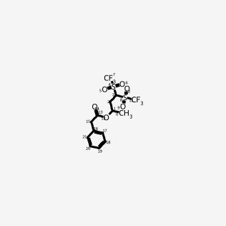 CC(CC(S(=O)(=O)C(F)(F)F)S(=O)(=O)C(F)(F)F)OC(=O)Cc1ccccc1